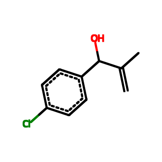 C=C(C)C(O)c1ccc(Cl)cc1